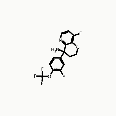 NC1(c2ccc(OC(F)(F)F)c(F)c2)CCOc2c(F)ccnc21